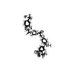 CC(c1nc2cc(C(F)(F)F)ccc2s1)N1CCN(C(=O)CO[C@H]2CC[C@H](Nc3ccc([N+](=O)[O-])c(C(F)(F)F)c3)CC2)CC1